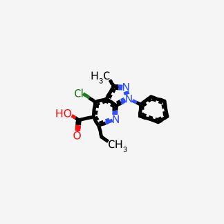 CCc1nc2c(c(C)nn2-c2ccccc2)c(Cl)c1C(=O)O